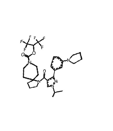 CC(C)n1cc(C(=O)N2CCCC23CCN(C(=O)OC(C(F)(F)F)C(F)(F)F)CC3)c(-c2cccc(N3CCCC3)c2)n1